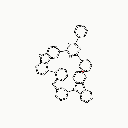 c1ccc(-c2nc(-c3ccccc3)nc(-c3ccc4oc5cccc(-c6cccc7c6sc6cccc(-n8c9ccccc9c9ccccc98)c67)c5c4c3)n2)cc1